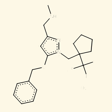 CNCc1cc(OCc2ccccc2)n(CC2(C(F)(F)F)CCCC2)n1.Cl